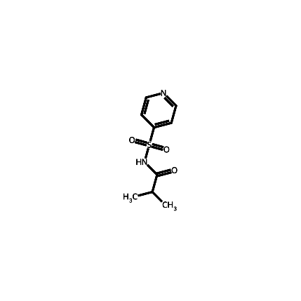 CC(C)C(=O)NS(=O)(=O)c1ccncc1